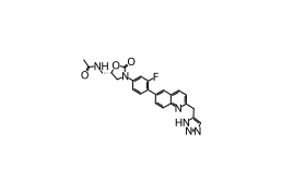 CC(=O)NC[C@H]1CN(c2ccc(-c3ccc4nc(Cc5cnn[nH]5)ccc4c3)c(F)c2)C(=O)O1